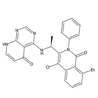 CCc1cccc2c(Cl)c([C@H](C)Nc3ncnc4[nH]ccc(=O)c34)n(-c3ccccc3)c(=O)c12